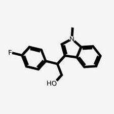 Cn1cc(C(CO)c2ccc(F)cc2)c2ccccc21